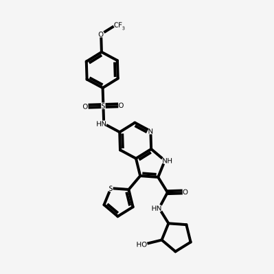 O=C(NC1CCCC1O)c1[nH]c2ncc(NS(=O)(=O)c3ccc(OC(F)(F)F)cc3)cc2c1-c1cccs1